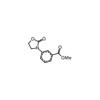 COC(=O)c1cccc(N2CCOC2=O)c1